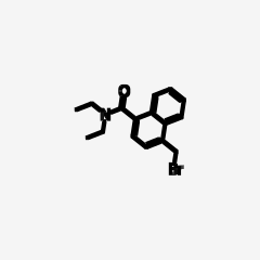 CCN(CC)C(=O)c1ccc(CBr)c2ccccc12